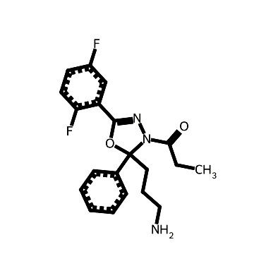 CCC(=O)N1N=C(c2cc(F)ccc2F)OC1(CCCN)c1ccccc1